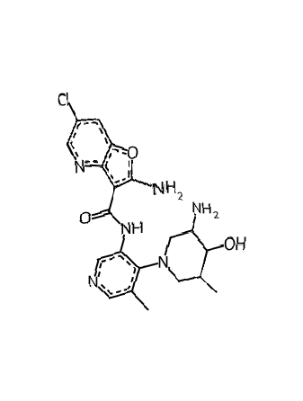 Cc1cncc(NC(=O)c2c(N)oc3cc(Cl)cnc23)c1N1CC(C)C(O)C(N)C1